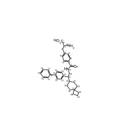 NC(Cc1ccc(C(=O)NCC(c2ccc(-c3ccccc3)cc2)C2CCC3(CCC3)CC2)cc1)C(=O)O